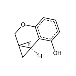 CC12COc3cccc(O)c3[C@H]1C2